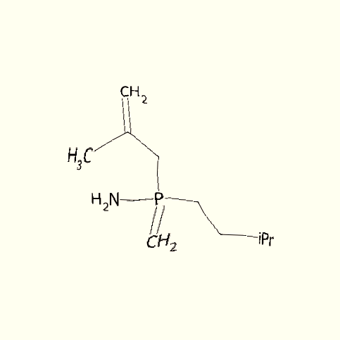 C=C(C)CP(=C)(N)CCC(C)C